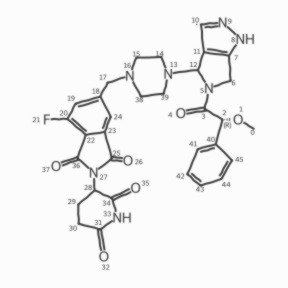 CO[C@@H](C(=O)N1Cc2[nH]n[c]c2C1N1CCN(Cc2cc(F)c3c(c2)C(=O)N(C2CCC(=O)NC2=O)C3=O)CC1)c1ccccc1